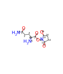 NC(=O)CC[C@H](N)C(=O)ON1C(=O)CCC1=O